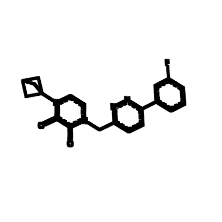 O=c1c(=O)n(C23CC(C2)C3)ccn1Cc1ccc(-c2cccc(F)c2)nn1